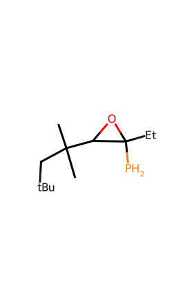 CCC1(P)OC1C(C)(C)CC(C)(C)C